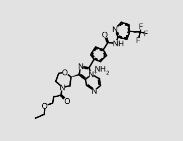 CCOCCC(=O)N1CCO[C@@H](C2=C3C=NC=C[N+]3(N)C(c3ccc(C(=O)Nc4cc(C(F)(F)F)ccn4)cc3)=N2)C1